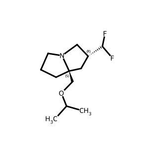 CC(C)OC[C@@]12CCCN1C[C@H](C(F)F)C2